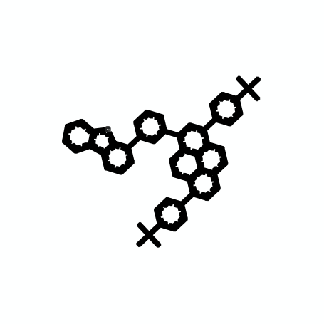 CC(C)(C)c1ccc(-c2ccc3ccc4c(-c5ccc(C(C)(C)C)cc5)cc(-c5cccc(-c6cccc7c6oc6ccccc67)c5)c5ccc2c3c45)cc1